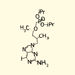 CC(C[C@H](C)OCP(=O)(OC(C)C)OC(C)C)Cn1cnc2c(I)nc(N)nc21